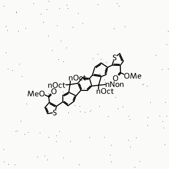 CCCCCCCCCC1(CCCCCCCC)c2cc(-c3sccc3C(=O)OC)ccc2-c2cc3c(cc21)-c1ccc(-c2sccc2C(=O)OC)cc1C3(CCCCCCCC)CCCCCCCC